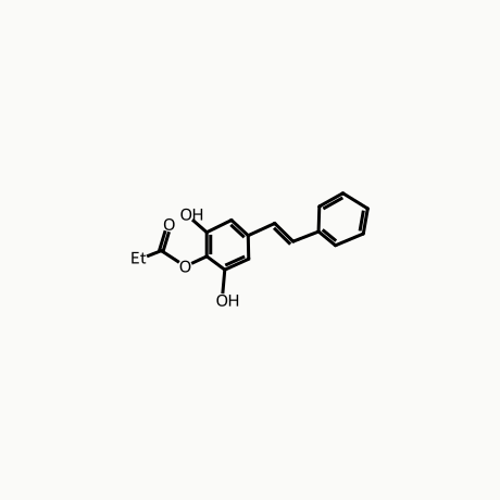 CCC(=O)Oc1c(O)cc(C=Cc2ccccc2)cc1O